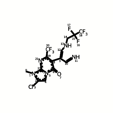 Cn1c(Cl)cn2c(=O)c(/C(C=N)=C/NCC(F)(F)C(F)(F)F)c(C(F)(F)F)nc12